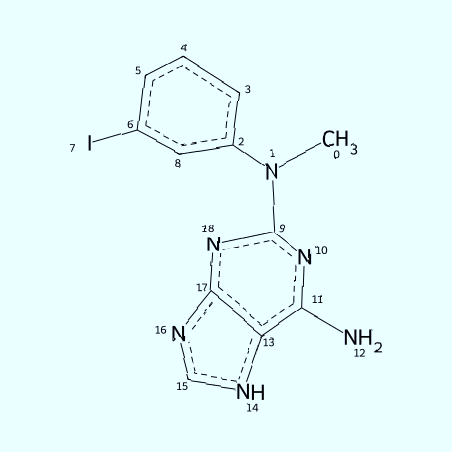 CN(c1cccc(I)c1)c1nc(N)c2[nH]cnc2n1